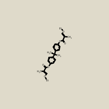 CCOC=C(C)C(=O)Oc1ccc(C(C)(C)c2ccc(OC(=O)C(C)=COCC)cc2)cc1